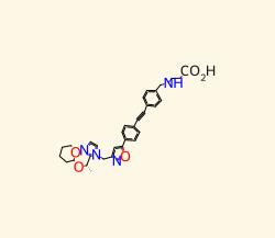 C[C@H](OC1CCCCO1)c1nccn1Cc1cc(-c2ccc(C#Cc3ccc(CNCCC(=O)O)cc3)cc2)on1